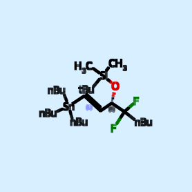 CCCCC(F)(F)[C@H](/C=[CH]/[Sn]([CH2]CCC)([CH2]CCC)[CH2]CCC)O[Si](C)(C)C(C)(C)C